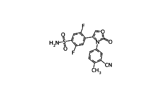 Cc1ccc(-n2c(-c3cc(F)c(S(N)(=O)=O)cc3F)coc2=O)cc1C#N